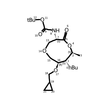 CCCC[C@H]1[C@H](C)OC(=O)[C@@H](NC(=O)OC(C)(C)C)COC[C@@H]1OCC1CC1